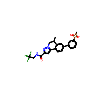 CC1Cn2nc(C(=O)NCC(F)(F)F)cc2-c2ccc(-c3cccc(S(C)(=O)=O)c3)cc21